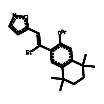 CCCc1cc2c(cc1C(=Cc1ccno1)CC)C(C)(C)CCC2(C)C